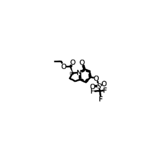 CCOC(=O)[C@@H]1CCc2cc(OS(=O)(=O)C(F)(F)F)cc(=O)n21